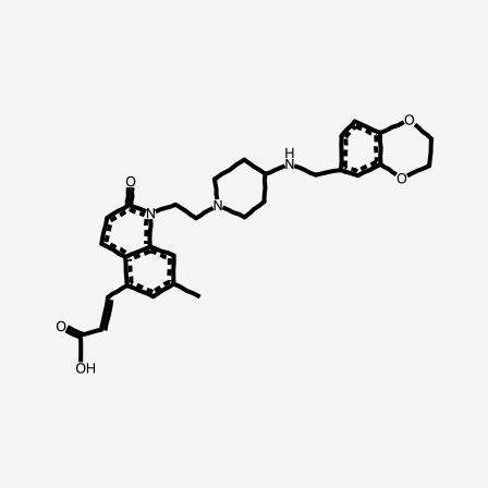 Cc1cc(/C=C/C(=O)O)c2ccc(=O)n(CCN3CCC(NCc4ccc5c(c4)OCCO5)CC3)c2c1